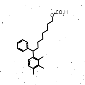 Cc1ccc(C(CCCCCCCOC(=O)O)c2ccccc2)c(C)c1C